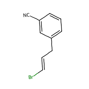 N#Cc1cccc(CC=CBr)c1